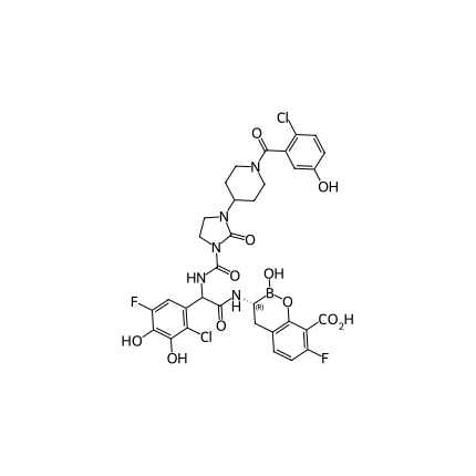 O=C(O)c1c(F)ccc2c1OB(O)[C@@H](NC(=O)C(NC(=O)N1CCN(C3CCN(C(=O)c4cc(O)ccc4Cl)CC3)C1=O)c1cc(F)c(O)c(O)c1Cl)C2